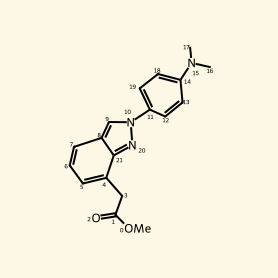 COC(=O)Cc1cccc2cn(-c3ccc(N(C)C)cc3)nc12